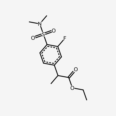 CCOC(=O)C(C)c1ccc(S(=O)(=O)N(C)C)c(F)c1